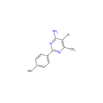 CCCCc1ccc(-c2nc(C)c(CC)c(N)n2)cc1